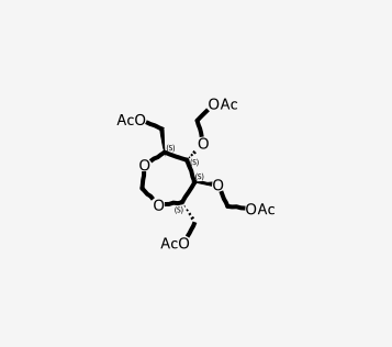 CC(=O)OCO[C@@H]1[C@@H](OCOC(C)=O)[C@H](COC(C)=O)OCO[C@H]1COC(C)=O